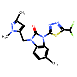 Cc1ccc2c(c1)n(-c1nnc(C(F)F)s1)c(=O)n2Cc1cc(C)nn1C